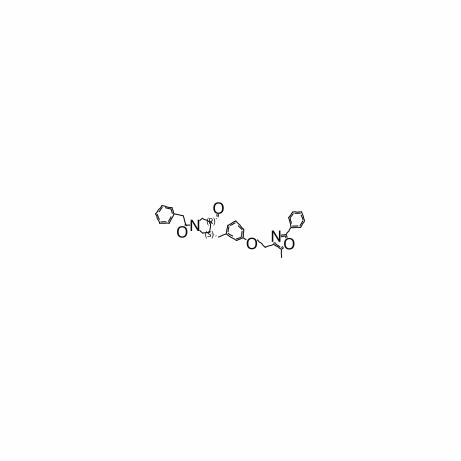 Cc1oc(-c2ccccc2)nc1CCOc1cccc(C[C@@H]2CN(C(=O)Cc3ccccc3)C[C@@H]2C=O)c1